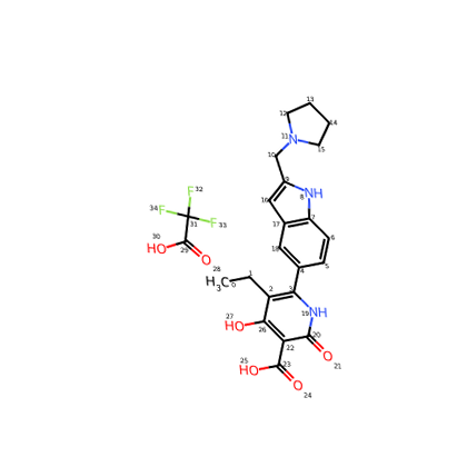 CCc1c(-c2ccc3[nH]c(CN4CCCC4)cc3c2)[nH]c(=O)c(C(=O)O)c1O.O=C(O)C(F)(F)F